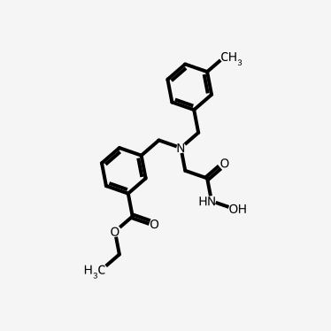 CCOC(=O)c1cccc(CN(CC(=O)NO)Cc2cccc(C)c2)c1